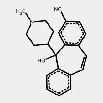 CN1CCC(C2(O)c3ccccc3C=Cc3ccc(C#N)cc32)CC1